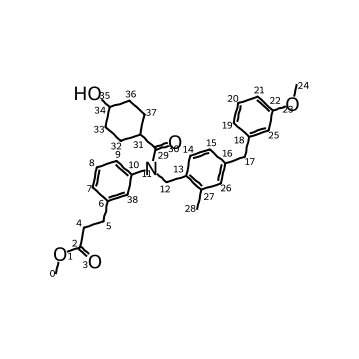 COC(=O)CCc1cccc(N(Cc2ccc(Cc3cccc(OC)c3)cc2C)C(=O)C2CCC(O)CC2)c1